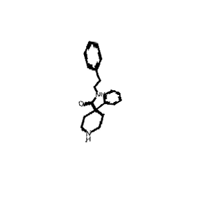 O=C(NCCc1ccccc1)C1(c2ccccc2)CCNCC1